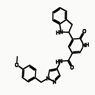 COc1ccc(Cn2cc(NC(=O)c3c[nH]c(=O)c(C4Cc5ccccc5N4)c3)cn2)cc1